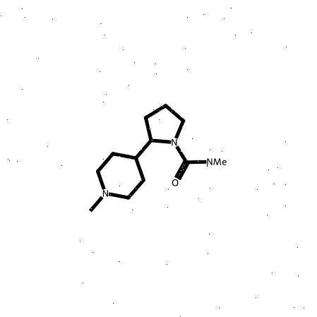 CNC(=O)N1CCCC1C1CCN(C)CC1